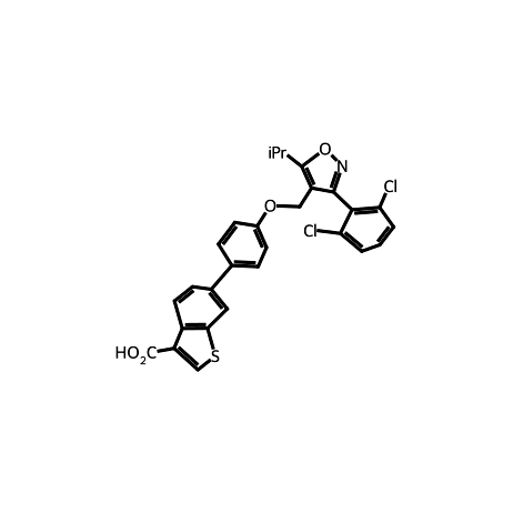 CC(C)c1onc(-c2c(Cl)cccc2Cl)c1COc1ccc(-c2ccc3c(C(=O)O)csc3c2)cc1